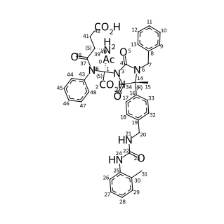 CC(=O)[C@@](C(=O)O)(N1C(=O)N(Cc2ccccc2)[C@](C)(c2ccc(CNC(=O)Nc3ccccc3C)cc2)C1=O)N(C(=O)[C@@H](N)CC(=O)O)c1ccccc1